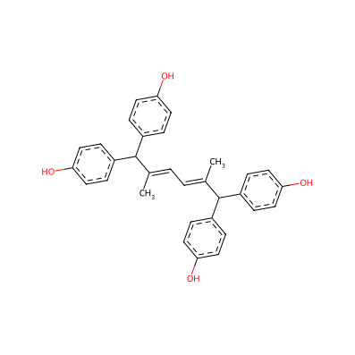 C/C(=C\C=C(/C)C(c1ccc(O)cc1)c1ccc(O)cc1)C(c1ccc(O)cc1)c1ccc(O)cc1